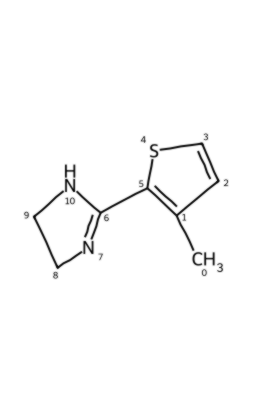 Cc1ccsc1C1=NCCN1